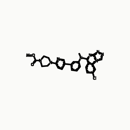 COC(=O)N1CCN(c2ccc(-c3cccc(N(C)c4nc5nncn5c5cc(Cl)ccc45)c3)cn2)CC1